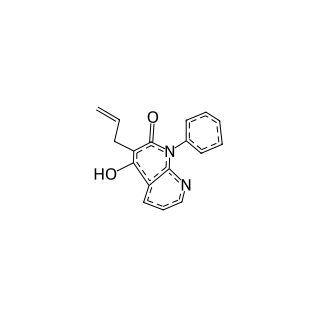 C=CCc1c(O)c2cccnc2n(-c2ccccc2)c1=O